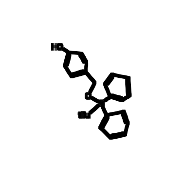 CC(C)(C)[Si](OCc1ccc(O)cc1)(c1ccccc1)c1ccccc1